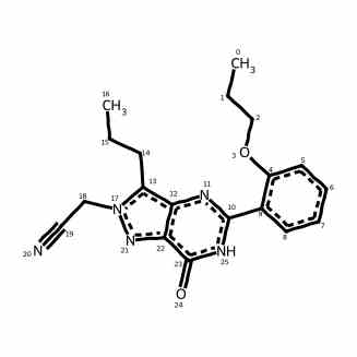 CCCOc1ccccc1-c1nc2c(CCC)n(CC#N)nc2c(=O)[nH]1